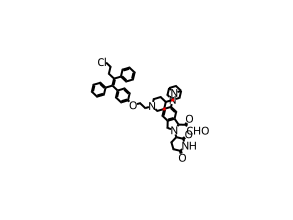 O=CC(=O)C1c2cc(N3CC4CC(C3)N4CC3CCN(CCOc4ccc(C(=C(CCCl)c5ccccc5)c5ccccc5)cc4)CC3)ccc2CN1C1CCC(=O)NC1=O